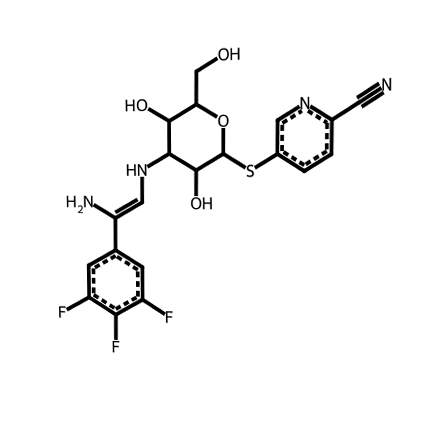 N#Cc1ccc(SC2OC(CO)C(O)C(N/C=C(\N)c3cc(F)c(F)c(F)c3)C2O)cn1